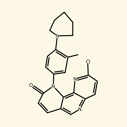 Cc1cc(-n2c(=O)ccc3cnc4ccc(Cl)nc4c32)ccc1N1CCCCC1